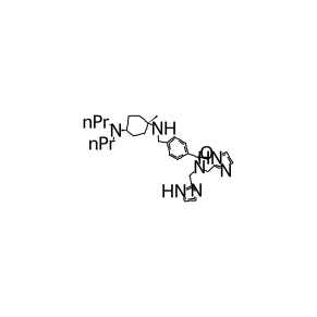 CCCN(CCC)[C@H]1CC[C@](C)(NCc2ccc(C(=O)N(Cc3ncc[nH]3)Cc3ncc[nH]3)cc2)CC1